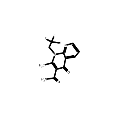 Cc1c(C(N)=O)c(=O)c2cccnc2n1CC(F)(F)F